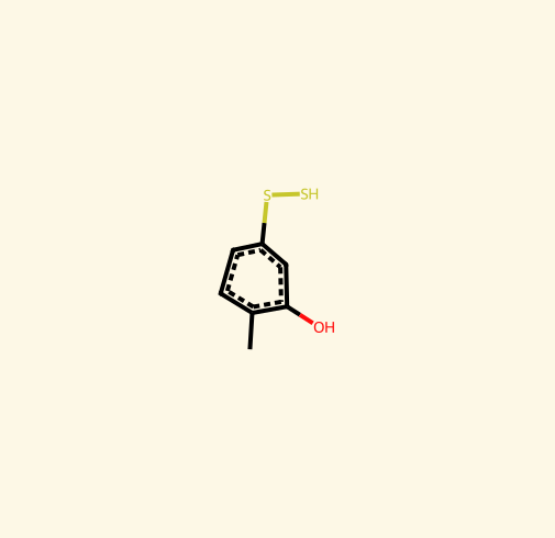 Cc1ccc(SS)cc1O